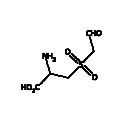 NC(CS(=O)(=O)CC=O)C(=O)O